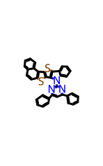 c1ccc(-c2cc(-c3ccccc3)nc(-n3c4ccccc4c4sc5c(sc6ccc7ccccc7c65)c43)n2)cc1